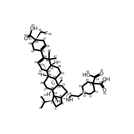 CC(C)[C@@H]1CC[C@]2(NCCN3CCC(C(=O)O)(C(=O)O)CC3)CC[C@]3(C)[C@H](CC[C@@H]4[C@@]5(C)CC=C(C6=CC[C@@](CF)(C(=O)O)CC6)C(C)(C)[C@@H]5CC[C@]43C)[C@@H]12